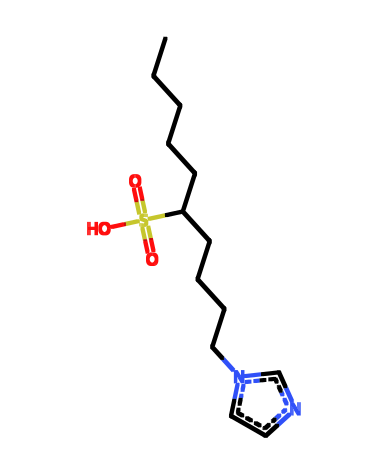 CCCCCC(CCCCn1ccnc1)S(=O)(=O)O